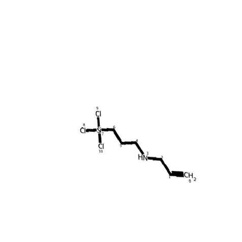 C=CCNCCC[Si](Cl)(Cl)Cl